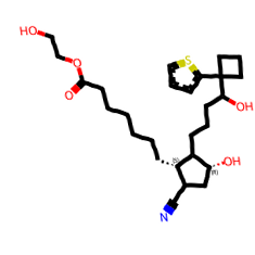 N#CC1C[C@@H](O)C(CCCC(O)C2(c3cccs3)CCC2)[C@H]1CCCCCCC(=O)OCCO